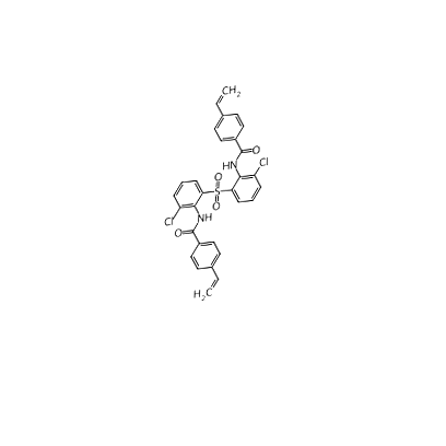 C=Cc1ccc(C(=O)Nc2c(Cl)cccc2S(=O)(=O)c2cccc(Cl)c2NC(=O)c2ccc(C=C)cc2)cc1